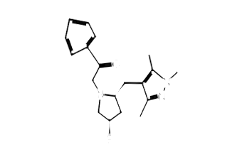 Cc1nn(C)c(C)c1C[C@H]1C[C@@H](F)CN1CC(=O)c1ccccc1